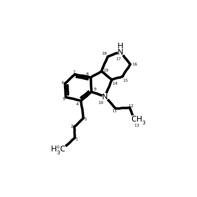 CCCCc1cccc2c1N(CCC)C1CCNCC21